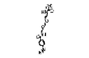 CC(C)(C)OC(=O)NCCOCCOCCNC(=O)c1ccc(N=[N+]=[N-])cc1